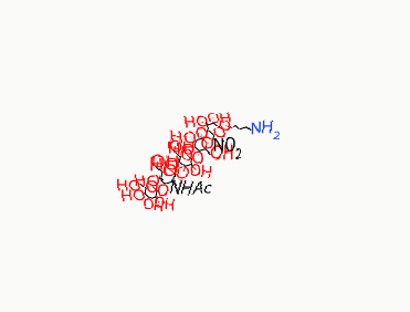 CC(=O)N[C@H]1C(O[C@@H]2OC(CO)[C@H](O)C(O)[C@@H]2O)[C@@H](O)C(CO)O[C@H]1O[C@@H]1C(O)[C@@H](O[C@H]2C(CO)O[C@@H](O[C@@H]3C(C[N+](=O)[O-])O[C@@H](OCCCCCN)[C@@H](O)C3O)[C@@H](O)C2O)OC(CO)[C@@H]1O